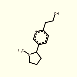 CN1CCCC1c1ccc(CCO)nc1